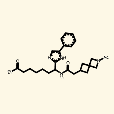 CCC(=O)CCCCCC(NC(=O)CC1CC2(C1)CN(C(C)=O)C2)c1ncc(-c2ccccc2)[nH]1